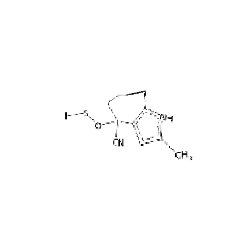 Cc1cc2c([nH]1)CCCC2(C#N)OSI